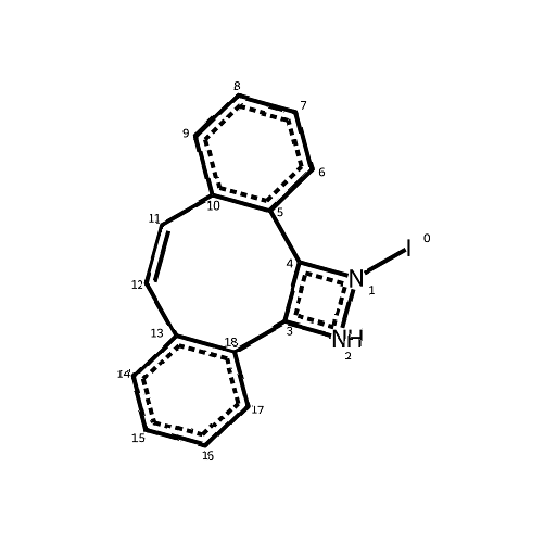 In1[nH]c2c1-c1ccccc1/C=C\c1ccccc1-2